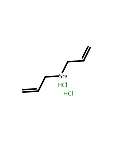 C=C[CH2][Sn][CH2]C=C.Cl.Cl